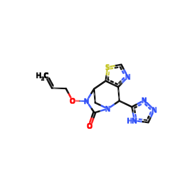 C=CCON1C(=O)N2CC1c1scnc1C2c1nnc[nH]1